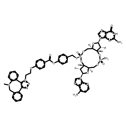 B[P@@]1(=O)OC[C@H]2O[C@@H](n3cnc4c(N)ccnc43)[C@H](F)[C@@H]2O[P@@](=O)(SCc2ccc(OC(=O)c3ccc(OCCn4nnc5c4-c4ccccc4N(C)Cc4ccccc4-5)cc3)cc2)OC[C@H]2O[C@@H](n3cnc4c(=O)[nH]c(N)nc43)[C@H](F)[C@@H]2O1